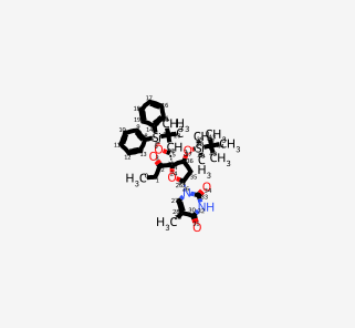 CCC(=O)[C@]1(CO[Si](c2ccccc2)(c2ccccc2)C(C)(C)C)O[C@@H](n2cc(C)c(=O)[nH]c2=O)CC1O[Si](C)(C)C(C)(C)C